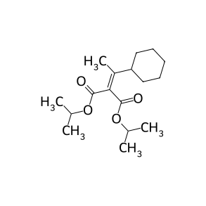 CC(=C(C(=O)OC(C)C)C(=O)OC(C)C)C1CCCCC1